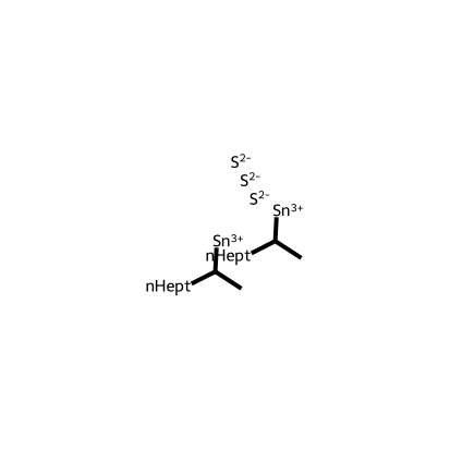 CCCCCCC[CH](C)[Sn+3].CCCCCCC[CH](C)[Sn+3].[S-2].[S-2].[S-2]